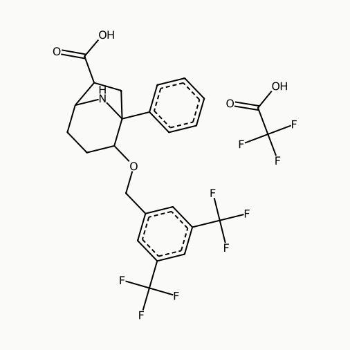 O=C(O)C(F)(F)F.O=C(O)C1CC2(c3ccccc3)NC1CCC2OCc1cc(C(F)(F)F)cc(C(F)(F)F)c1